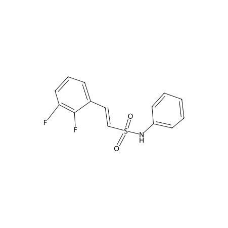 O=S(=O)(C=Cc1cccc(F)c1F)Nc1ccccc1